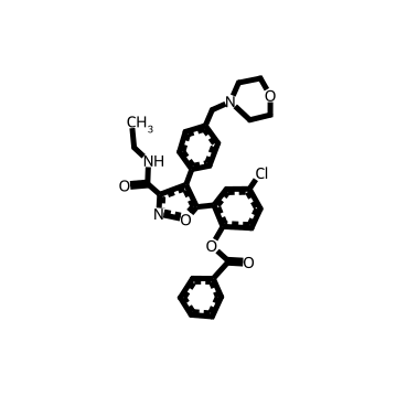 CCNC(=O)c1noc(-c2cc(Cl)ccc2OC(=O)c2ccccc2)c1-c1ccc(CN2CCOCC2)cc1